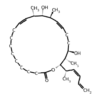 C=C/C=C\[C@H](C)[C@@H]1OC(=O)CCCCCCCC/C=C\[C@H](C)[C@H](O)[C@@H](C)/C=C\CC[C@@H](O)[C@@H]1C